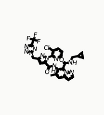 Cc1cc2ccnn2c(C(=O)NCC2CC2)c1NC(=O)c1cc(Cn2nnc(C(F)(F)F)n2)nn1-c1ncccc1Cl